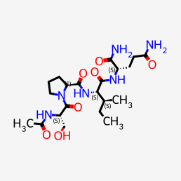 CC[C@H](C)[C@H](NC(=O)[C@@H]1CCCN1C(=O)[C@H](CO)NC(C)=O)C(=O)N[C@@H](CCC(N)=O)C(N)=O